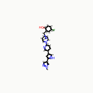 Cn1cc(-c2cc(-c3ccc(N4CC5CCC4CN5Cc4cc(F)ccc4O)nc3)c[nH]2)cn1